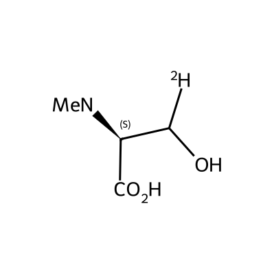 [2H]C(O)[C@H](NC)C(=O)O